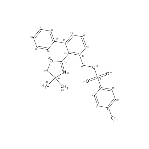 Cc1ccc(S(=O)(=O)OCc2cccc(-c3ccccc3)c2C2=NC(C)(C)CO2)cc1